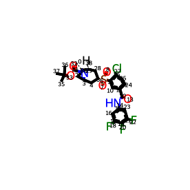 C[C@H]1CC2C[C@@H](S(=O)(=O)c3cc(C(=O)Nc4cc(F)c(F)c(F)c4)ccc3Cl)C[C@H]1N2C(=O)OC(C)(C)C